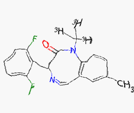 [3H]C([3H])([3H])N1C(=O)C(c2c(F)cccc2F)N=Cc2cc(C)ccc21